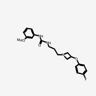 COc1cccc(NC(=O)NCCCN2CC(Oc3ccc(F)cc3)C2)c1